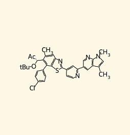 CC(=O)[C@@H](OC(C)(C)C)c1c(C)cc2nc(-c3ccnc(-c4cnc5c(c4)c(C)cn5C)c3)sc2c1-c1ccc(Cl)cc1